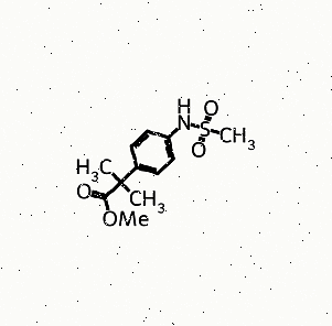 COC(=O)C(C)(C)c1ccc(NS(C)(=O)=O)cc1